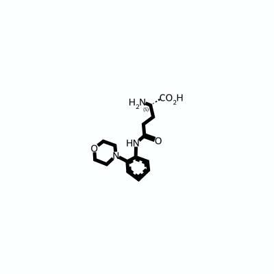 N[C@@H](CCC(=O)Nc1ccccc1N1CCOCC1)C(=O)O